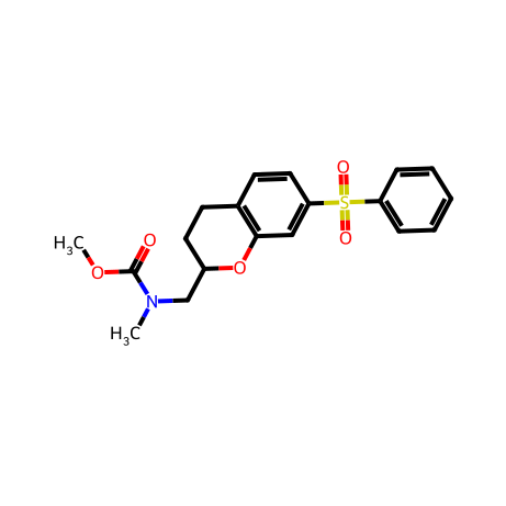 COC(=O)N(C)CC1CCc2ccc(S(=O)(=O)c3ccccc3)cc2O1